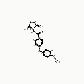 COc1ccc(Cc2ccc(C(=O)ON3C(=O)CCC3=O)cc2)cc1